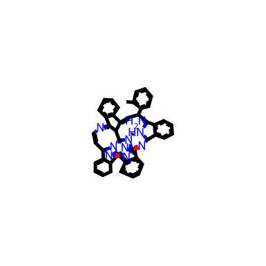 CC1=NC2C3CC=CC=C3C34C=C/N=C5/c6ccccc6/C6=C/C(c7ccccc7C)C7(N)NC(/N=c8/c9ccccc9c(n8C(C65)(N1C)N23)=N4)c1ccccc17